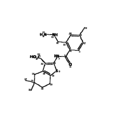 Cc1ccc(C(=O)Nc2sc3c(c2C(=O)O)CC(C)(C)CC3)c(CNN)c1